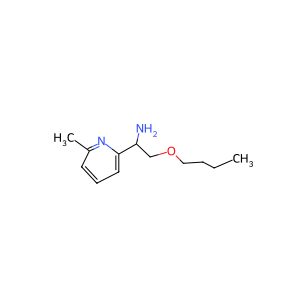 CCCCOCC(N)c1cccc(C)n1